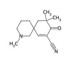 CN1CCCC2(C=C(C#N)C(=O)C(C)(C)C2)C1